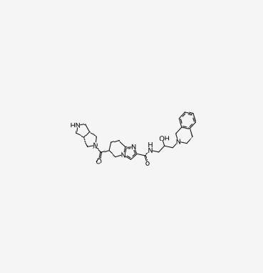 O=C(NCC(O)CN1CCc2ccccc2C1)c1cn2c(n1)CCC(C(=O)N1CC3CNCC3C1)C2